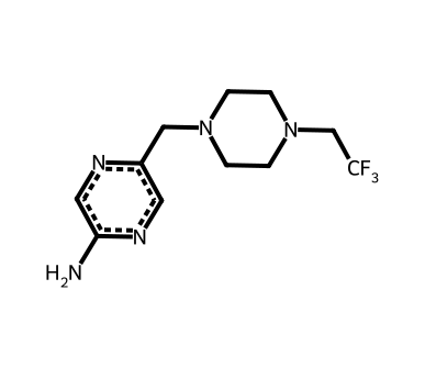 Nc1cnc(CN2CCN(CC(F)(F)F)CC2)cn1